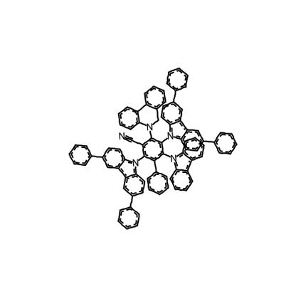 N#Cc1c(N2Cc3ccccc3-c3ccccc32)c(-n2c3ccc(-c4ccccc4)cc3c3cc(-c4ccccc4)ccc32)c(-n2c3ccccc3c3ccccc32)c(-c2ccccc2)c1-n1c2ccc(-c3ccccc3)cc2c2cc(-c3ccccc3)ccc21